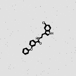 O=C(NCCc1c[nH]c2ccc(Cl)cc12)c1cccc(Oc2ccccc2)c1